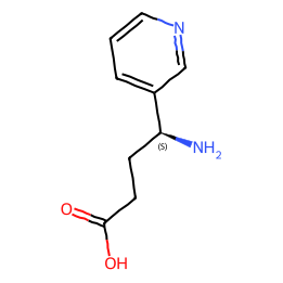 N[C@@H](CCC(=O)O)c1cccnc1